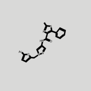 CC(=O)c1ccc(Cn2cc(NC(=O)c3nc(C)sc3-c3ccccc3)cn2)o1